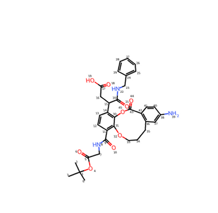 CC(C)(C)OC(=O)CNC(=O)c1ccc(C(CC(=O)O)C(=O)NCc2ccccc2)c2c1OCCCc1cc(N)ccc1C(=O)O2